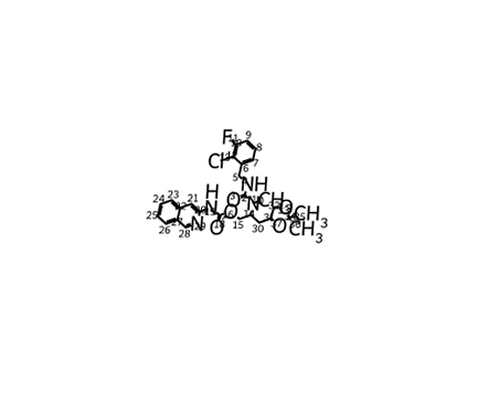 CN(C(=O)NCc1cccc(F)c1Cl)C(COC(=O)Nc1cc2ccccc2cn1)CC1COC(C)(C)O1